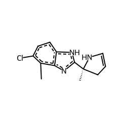 Cc1c(Cl)ccc2[nH]c([C@]3(C)CC=CN3)nc12